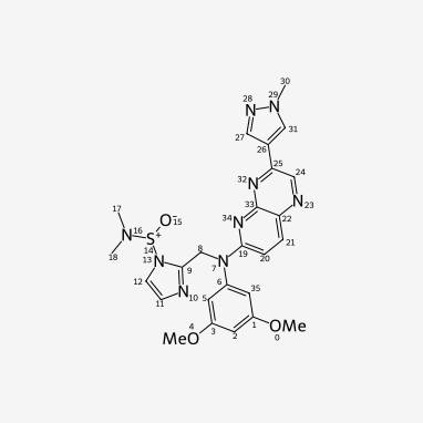 COc1cc(OC)cc(N(Cc2nccn2[S+]([O-])N(C)C)c2ccc3ncc(-c4cnn(C)c4)nc3n2)c1